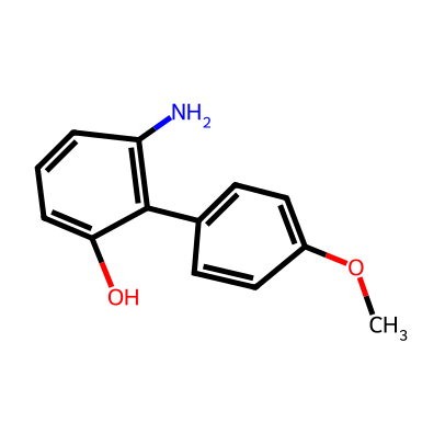 COc1ccc(-c2c(N)cccc2O)cc1